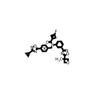 CC1(c2nc(-c3cccc(N(CC45CCC(c6nc(C7CC7)no6)(CC4)CC5)C(=O)C45CC(F)(C4)C5)c3)no2)COC1